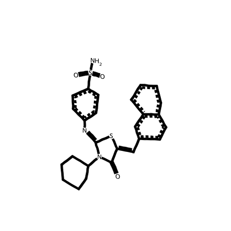 NS(=O)(=O)c1ccc(/N=C2\SC(=Cc3ccc4ccccc4c3)C(=O)N2C2CCCCC2)cc1